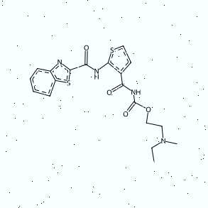 CCN(C)CCOC(=O)NC(=O)c1ccsc1NC(=O)c1nc2ccccc2s1